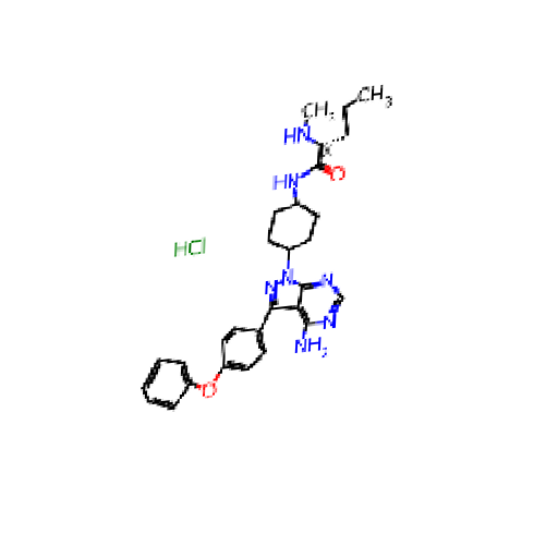 CCC[C@@H](NC)C(=O)NC1CCC(n2nc(-c3ccc(Oc4ccccc4)cc3)c3c(N)ncnc32)CC1.Cl